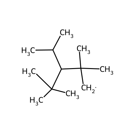 [CH2]C(C)(C)C(C(C)C)C(C)(C)C